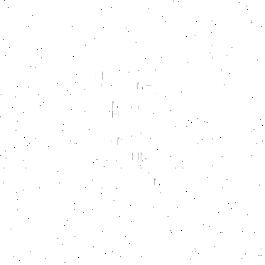 CCC/C(=C\CO[C@@H]1NC[C@H](Cl)C[C@@H]1N)CNCCN(C)C